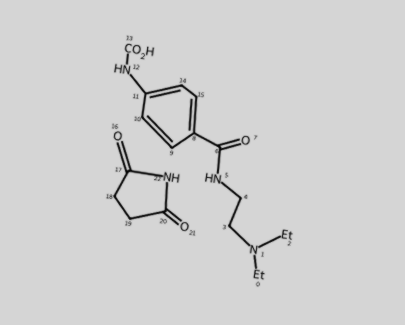 CCN(CC)CCNC(=O)c1ccc(NC(=O)O)cc1.O=C1CCC(=O)N1